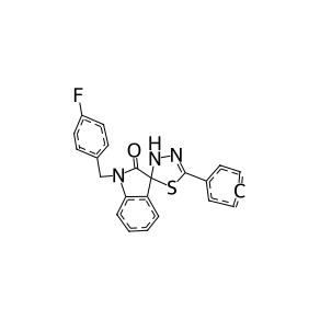 O=C1N(Cc2ccc(F)cc2)c2ccccc2C12NN=C(c1ccccc1)S2